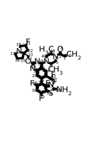 C=CC(=O)N1C[C@H](C)N(c2nc(OC[C@@]34CCCN3C[C@H](F)C4)nc3cc(-c4c(F)cc(F)c5sc(N)nc45)c(C(F)(F)F)cc23)C[C@H]1C